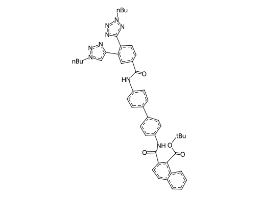 CCCCn1cc(-c2cc(C(=O)Nc3ccc(-c4ccc(NC(=O)c5ccc6ccccc6c5C(=O)OC(C)(C)C)cc4)cc3)ccc2-c2nnn(CCCC)n2)nn1